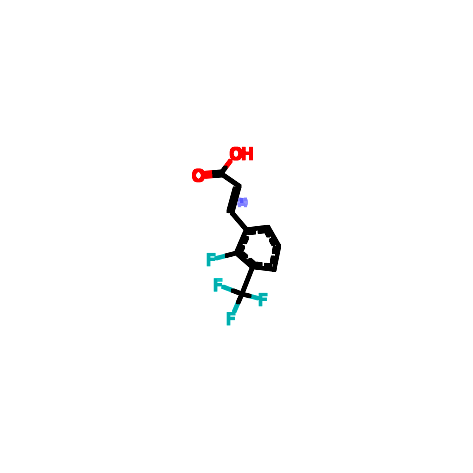 O=C(O)/C=C/c1cccc(C(F)(F)F)c1F